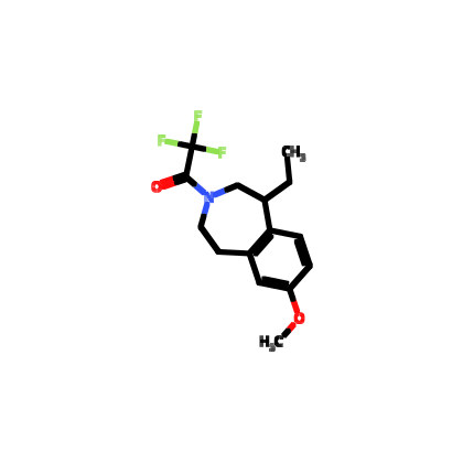 CCC1CN(C(=O)C(F)(F)F)CCc2cc(OC)ccc21